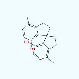 Cc1ccc(O)c2c1CCC21CCc2c(C)ccc(O)c21